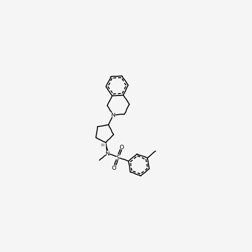 Cc1cccc(S(=O)(=O)N(C)[C@H]2CCC(N3CCc4ccccc4C3)C2)c1